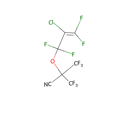 N#CC(OC(F)(F)C(Cl)=C(F)F)(C(F)(F)F)C(F)(F)F